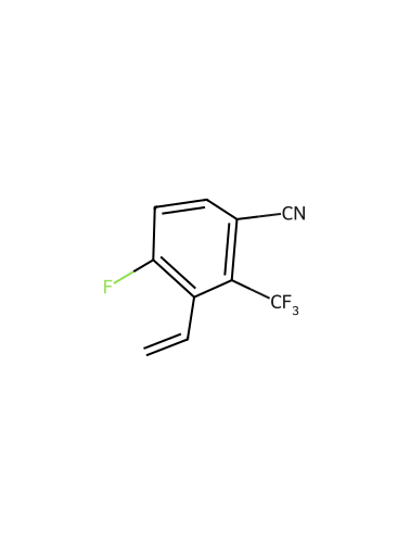 C=Cc1c(F)ccc(C#N)c1C(F)(F)F